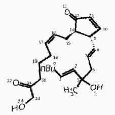 CCCCC=CC(C)(O)C/C=C/[C@H]1C=CC(=O)[C@@H]1C/C=C\CCCC(=O)CO